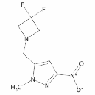 Cn1nc([N+](=O)[O-])cc1CN1CC(F)(F)C1